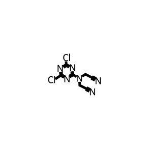 N#CCN(CC#N)c1nc(Cl)nc(Cl)n1